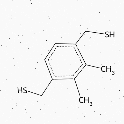 Cc1c(CS)ccc(CS)c1C